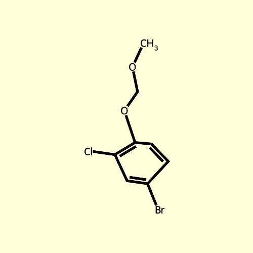 COCOc1ccc(Br)cc1Cl